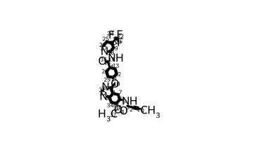 CC#CC(=O)Nc1cc2c(Oc3ccc(C(=O)Nc4cc(C(F)(F)F)ccn4)cc3)ncnc2cc1OC